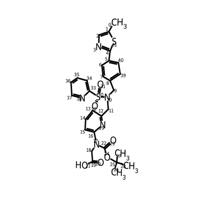 Cc1cnc(-c2ccc(CN(Cc3cccc(N(CC(=O)O)C(=O)OC(C)(C)C)n3)S(=O)(=O)c3ccccn3)cc2)s1